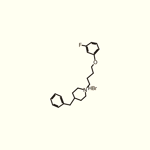 Br.Fc1cccc(OCCCCN2CCC(Cc3ccccc3)CC2)c1